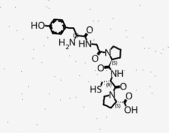 N[C@@H](Cc1ccc(O)cc1)C(=O)NCC(=O)N1CCC[C@H]1C(=O)N[C@@H](CS)C(=O)N1CCC[C@H]1C(=O)O